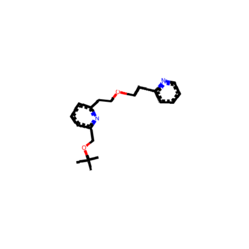 CC(C)(C)OCc1cccc(CCOCCc2ccccn2)n1